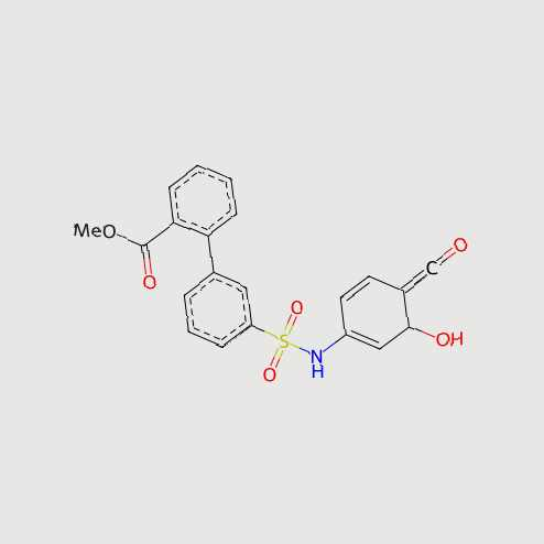 COC(=O)c1ccccc1-c1cccc(S(=O)(=O)NC2=CC(O)C(=C=O)C=C2)c1